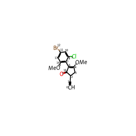 C#CC1CC(OC)=C(c2c(Cl)cc(Br)cc2OC)C1=O